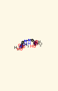 CN1C(=O)[C@]2(Cc3ccc(CNCCCNCc4ccc(C[C@@]56SS[C@@](CO)(C(=O)N5C)N(C)C6=O)cc4)cc3)SS[C@@]1(CO)C(=O)N2C